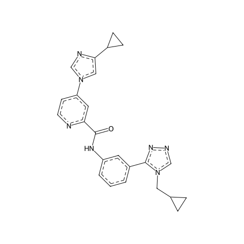 O=C(Nc1cccc(-c2nncn2CC2CC2)c1)c1cc(-n2cnc(C3CC3)c2)ccn1